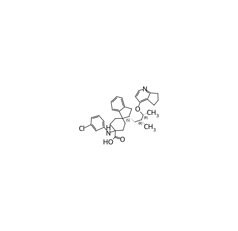 C[C@H](C[C@H]1Cc2ccccc2C12CCC(Nc1cccc(Cl)c1)(C(=O)O)CC2)[C@@H](C)Oc1ccnc2c1CCC2